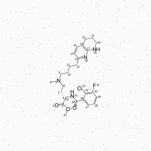 COC(=O)[C@H](CCN(C)CCCCc1ccc2c(n1)NCCC2)NC(=O)c1cccc(F)c1Cl